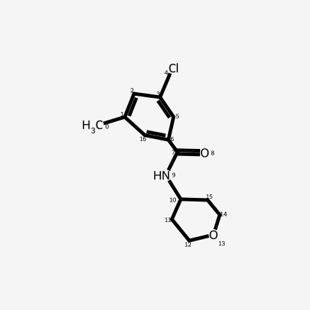 Cc1cc(Cl)cc(C(=O)NC2CCOCC2)c1